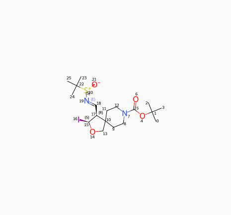 CC(C)(C)OC(=O)N1CCC2(CC1)CO[C@@H](I)[C@H]2/C=N/[S@+]([O-])C(C)(C)C